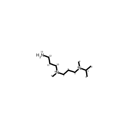 CC(C)N(C)CCCN(C)CCCN